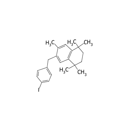 Cc1cc2c(cc1Cc1ccc(I)cc1)C(C)(C)CCC2(C)C